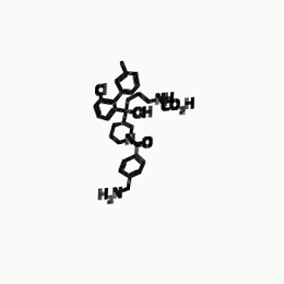 Cc1cccc(-c2c(Cl)cccc2[C@](O)(CCCNC(=O)O)[C@@H]2CCCN(C(=O)c3ccc(CN)cc3)C2)c1